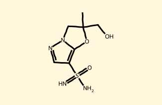 CC1(CO)Cn2ncc(S(=N)(N)=O)c2O1